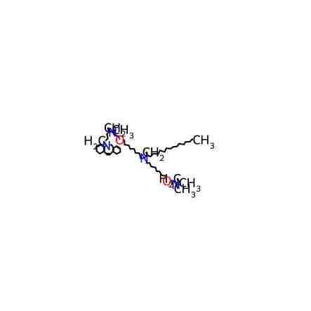 C=C(C)N(C)CCOCCCCCCCCN(CCCCCCCCOCCN(C)C(=C)CCC(=C)N1CC2=C(C#CC3=C1C=CCC3)CCC=C2)C(=C)CCCCCCCCCCCCCCC